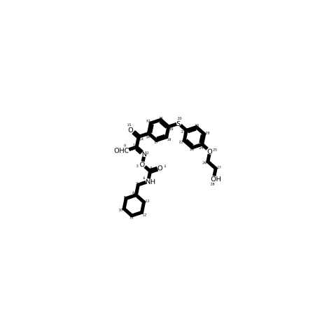 O=C/C(=N\OC(=O)NCC1CCCCC1)C(=O)c1ccc(Sc2ccc(OCCO)cc2)cc1